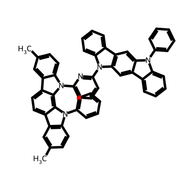 Cc1ccc2c(c1)c1ccc3c4cc(C)ccc4n(-c4cccc(-n5c6ccccc6c6cc7c(cc65)c5ccccc5n7-c5ccccc5)n4)c3c1n2-c1ccccc1